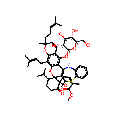 COC(=O)/C(C)=C\CC1(O)C(=O)CCC(C(C)C)C12Oc1c(CC=C(C)C)c3c(c(O[C@@H]4O[C@H](CO)[C@@H](O)[C@H](O)[C@H]4O)c1C1=C2C(C)Sc2ccccc2N1)C=CC(C)(CCC=C(C)C)O3